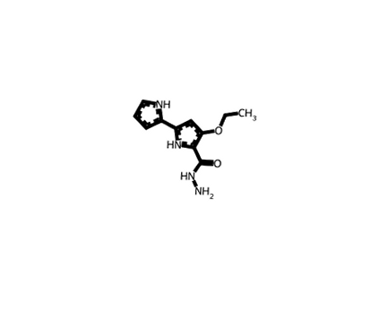 CCOc1cc(-c2ccc[nH]2)[nH]c1C(=O)NN